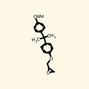 COc1ccc(C(C)(C)c2ccc(OCC3CO3)cc2)cc1